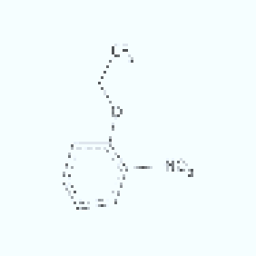 O=[N+]([O-])c1c[c]ccc1OCC(F)(F)F